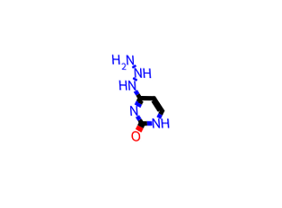 NNNc1cc[nH]c(=O)n1